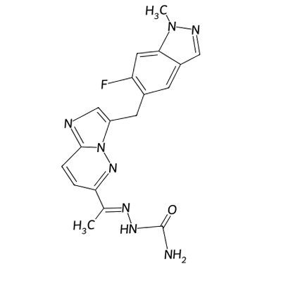 CC(=NNC(N)=O)c1ccc2ncc(Cc3cc4cnn(C)c4cc3F)n2n1